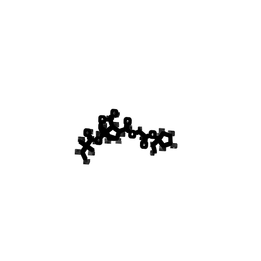 CCC1(OC(=O)COC(=O)C2C3CC4C(OC(=O)C42)C3OC(=O)C(C)(C)CC)CCCC1